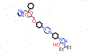 CCC(CC)N1N=CN(c2ccc(N3CCN(c4ccc(OC[C@H]5CO[C@](Cn6nccn6)(c6ccccc6)O5)cc4)CC3)cc2)C1O